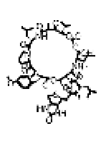 CC[C@H](C)C1NC(=O)[C@@H](NC(=O)[C@@H](CC(C)C)N(C)C(=O)CC2SCC3NC(=O)NC32)[C@@H](C)OC(=O)[C@H](Cc2ccc(OC)cc2)N(C)C(=O)[C@@H]2CCCN2C(=O)[C@H](CC(C)C)NC(=O)[C@@H](C)C(=O)[C@H](C(C)C)OC(=O)C[C@@H]1O